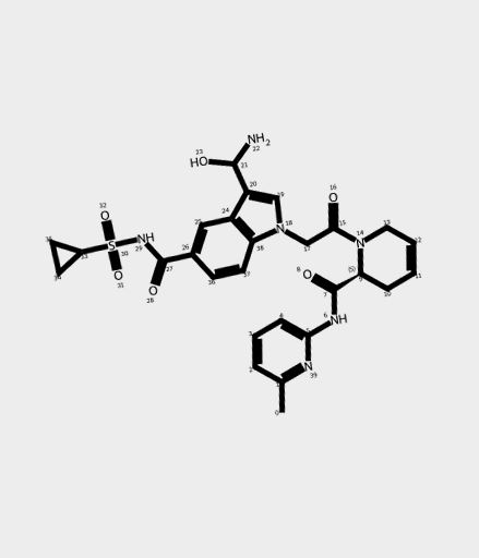 Cc1cccc(NC(=O)[C@@H]2CC=CCN2C(=O)Cn2cc(C(N)O)c3cc(C(=O)NS(=O)(=O)C4CC4)ccc32)n1